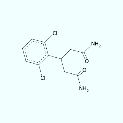 NC(=O)CC(CC(N)=O)c1c(Cl)cccc1Cl